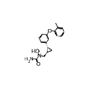 Cc1ccccc1Oc1cccc([C@@H]2C[C@H]2CN(O)C(N)=O)c1